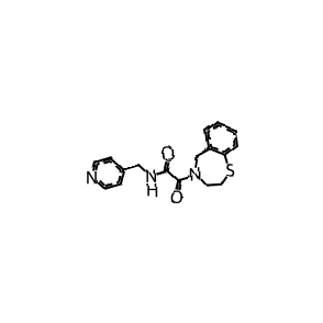 O=C(NCc1ccncc1)C(=O)N1CCSc2ccccc2C1